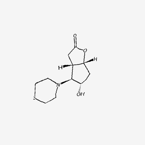 O=C1C[C@H]2[C@H](N3CCSCC3)[C@@H](O)C[C@H]2O1